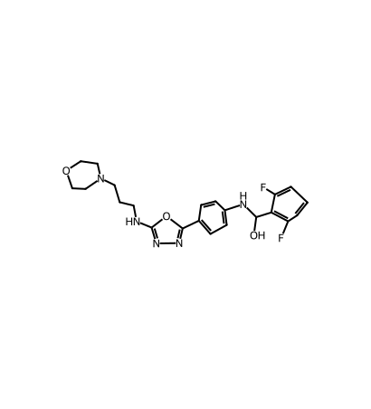 OC(Nc1ccc(-c2nnc(NCCCN3CCOCC3)o2)cc1)c1c(F)cccc1F